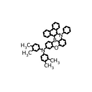 Cc1ccc(N(c2ccc(C)c(C)c2)c2ccc3c(c2)Oc2cccc4c2B3c2c(c3ccccc3c3ccccc23)N4c2ccccc2)cc1C